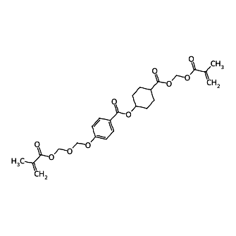 C=C(C)C(=O)OCOCOc1ccc(C(=O)OC2CCC(C(=O)OCOC(=O)C(=C)C)CC2)cc1